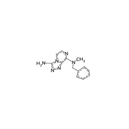 CN(Cc1ccccc1)c1nccn2c(N)nnc12